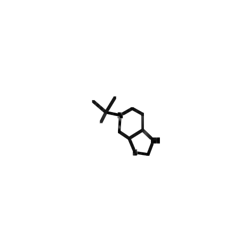 CC(C)(C)N1CCC2NCSC2C1